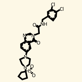 O=C(Cn1cnc2ccc(N3CCN(C4([SH](=O)=O)CCCC4)CC3)cc2c1=O)NCc1ccc(Cl)c(Cl)c1